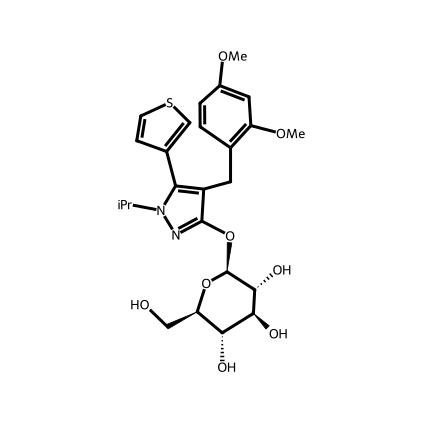 COc1ccc(Cc2c(O[C@@H]3O[C@H](CO)[C@@H](O)[C@H](O)[C@H]3O)nn(C(C)C)c2-c2ccsc2)c(OC)c1